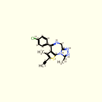 C#Cc1sc2c(c1C)C(c1ccc(Cl)cc1)=NCc1nnc(C)n1-2